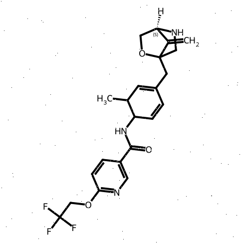 C=C1[C@H]2COC1(CC1=CC(C)C(NC(=O)c3ccc(OCC(F)(F)F)nc3)C=C1)CN2